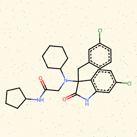 O=C(CN(C1CCCCC1)C1(Cc2cccc(Cl)c2)C(=O)Nc2cc(Cl)ccc21)NC1CCCC1